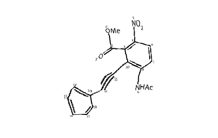 COC(=O)c1c([N+](=O)[O-])ccc(NC(C)=O)c1C#Cc1ccccc1